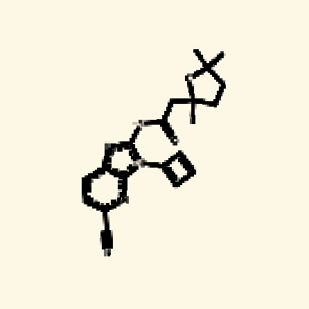 CC1(C)CCC(C)(CC(=O)Nc2nc3ccc(C#N)nc3n2C2=CC=C2)O1